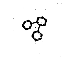 [c]1cccc(-c2ccccc2-c2ccccc2)c1